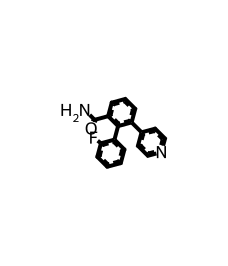 NC(=O)c1cccc(-c2ccncc2)c1-c1ccccc1F